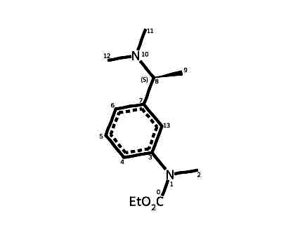 CCOC(=O)N(C)c1cccc([C@H](C)N(C)C)c1